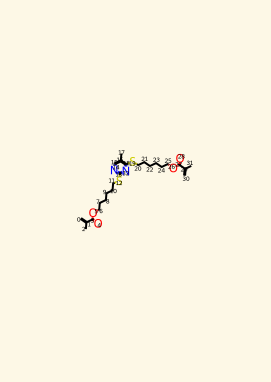 C=C(C)C(=O)OCCCCCCSc1ncc(C)c(SCCCCCCOC(=O)C(=C)C)n1